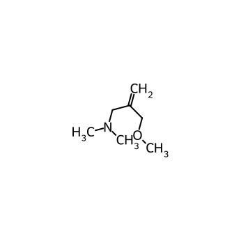 C=C(COC)CN(C)C